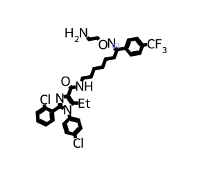 CCc1c(C(=O)NCCCCCC/C(=N\OCCN)c2ccc(C(F)(F)F)cc2)nc(-c2ccccc2Cl)n1-c1ccc(Cl)cc1